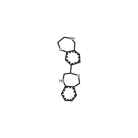 c1ccc2c(c1)COC(c1ccc3c(c1)OCCNC3)CN2